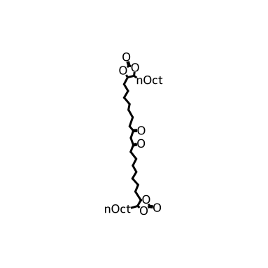 CCCCCCCCC1OC(=O)OC1CCCCCCCC(=O)CC(=O)CCCCCCCC1OC(=O)OC1CCCCCCCC